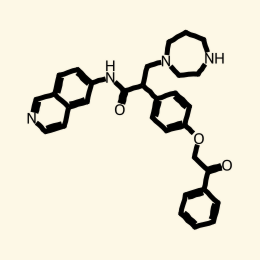 O=C(COc1ccc(C(CN2CCCNCC2)C(=O)Nc2ccc3cnccc3c2)cc1)c1ccccc1